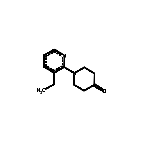 CCc1cccnc1N1CCC(=O)CC1